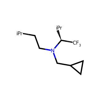 CC(C)CCN(CC1CC1)[C@@H](C(C)C)C(F)(F)F